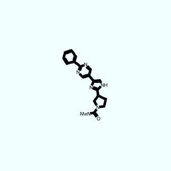 CNC(=O)N1CCC(c2nc(-c3cnc(-c4ccccc4)nc3)c[nH]2)C1